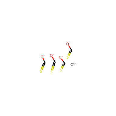 [C+4].[O-]C=S.[O-]C=S.[O-]C=S.[O-]C=S